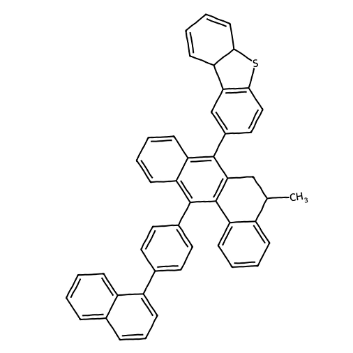 CC1Cc2c(c(-c3ccc(-c4cccc5ccccc45)cc3)c3ccccc3c2-c2ccc3c(c2)C2C=CC=CC2S3)-c2ccccc21